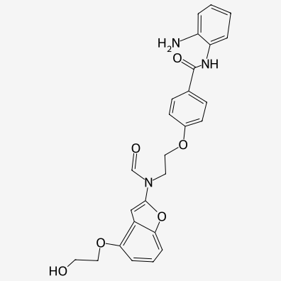 Nc1ccccc1NC(=O)c1ccc(OCCN(C=O)c2cc3c(OCCO)cccc3o2)cc1